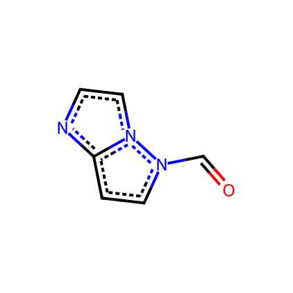 O=Cn1ccc2nccn21